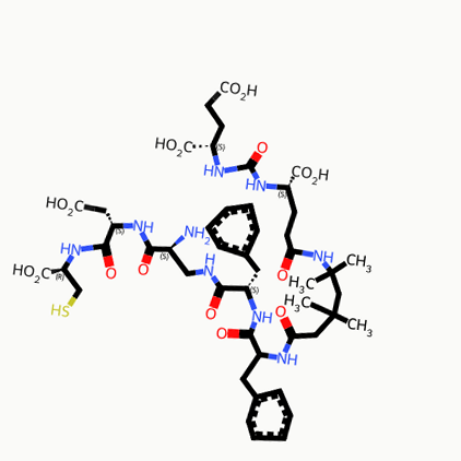 CC(C)(CC(=O)NC(Cc1ccccc1)C(=O)N[C@@H](Cc1ccccc1)C(=O)NC[C@H](N)C(=O)N[C@@H](CC(=O)O)C(=O)N[C@@H](CS)C(=O)O)CC(C)(C)NC(=O)CC[C@H](NC(=O)N[C@@H](CCC(=O)O)C(=O)O)C(=O)O